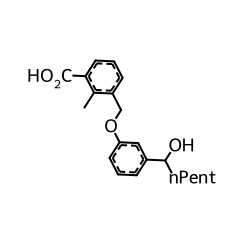 CCCCCC(O)c1cccc(OCc2cccc(C(=O)O)c2C)c1